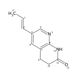 C/C=C/c1cnc2c(c1)CCC(=O)N2